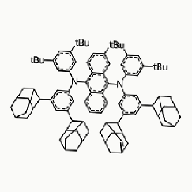 CC(C)(C)c1cc(N(c2cc(C3C4CC5CC(C4)CC3C5)cc(C3C4CC5CC(C4)CC3C5)c2)c2c3ccccc3c(N(c3cc(C4C5C=C6CC(C5)CC4C6)cc(C4C5CC6CC(C5)CC4C6)c3)c3cc(C(C)(C)C)cc(C(C)(C)C)c3)c3cc(C(C)(C)C)ccc23)cc(C(C)(C)C)c1